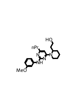 CCCc1cc(N2CCCCC2CCO)nc(Nc2cccc(OC)c2)n1